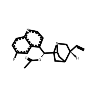 C=C[C@H]1CN2CCC1CC2[C@H](OC(C)=O)c1ccnc2ccc(F)cc12